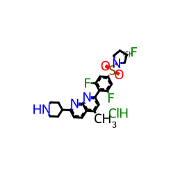 Cc1cc(-c2c(F)cc(S(=O)(=O)N3CC[C@H](F)C3)cc2F)nc2nc(C3CCNCC3)ccc12.Cl